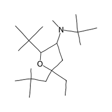 CCC1(CC(C)(C)C)CC(N(C)C(C)(C)C)C(C(C)(C)C)O1